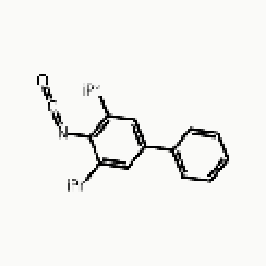 CC(C)c1cc(-c2ccccc2)cc(C(C)C)c1N=C=O